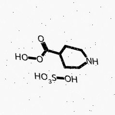 O=C(OO)C1CCNCC1.O=S(=O)(O)O